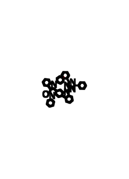 O=c1c2c3ccccc3n(-c3ccccc3)c2c2cc3c(cc2n1-c1ccccc1)c1ccccc1n3-c1nc(-c2ccccc2)nc(-c2ccccc2)n1